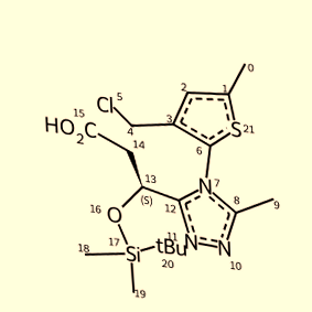 Cc1cc(CCl)c(-n2c(C)nnc2[C@H](CC(=O)O)O[Si](C)(C)C(C)(C)C)s1